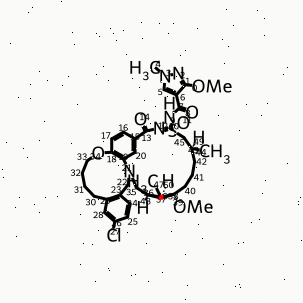 COc1nn(C)cc1C(=O)NS1(=O)=NC(=O)c2ccc3c(c2)N(Cc2ccc(Cl)cc2CCCCO3)C[C@@H]2C[C@@](OC)(CCC[C@H](C)C1)[C@@H]2C